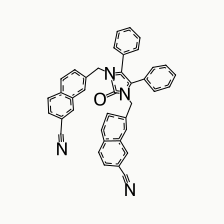 N#Cc1ccc2ccc(Cn3c(-c4ccccc4)c(-c4ccccc4)n(Cc4ccc5ccc(C#N)cc5c4)c3=O)cc2c1